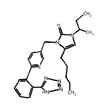 CCCCCc1cn(C(C)CC)c(=O)n1Cc1ccc(-c2ccccc2-c2nnn[nH]2)nc1